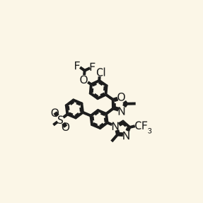 Cc1nc(-c2cc(-c3cccc(S(C)(=O)=O)c3)ccc2-n2cc(C(F)(F)F)nc2C)c(-c2ccc(OC(F)F)c(Cl)c2)o1